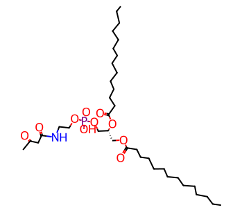 CCCCCCCCCCCCCC(=O)OC[C@H](COP(=O)(O)OCCNC(=O)CC(C)=O)OC(=O)CCCCCCCCCCCCC